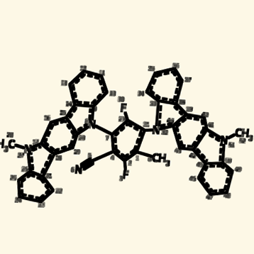 Cc1c(F)c(C#N)c(-n2c3ccccc3c3cc4c(cc32)c2ccccc2n4C)c(F)c1-n1c2ccccc2c2cc3c(cc21)c1ccccc1n3C